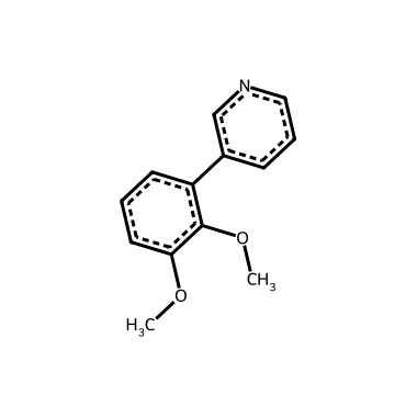 COc1cccc(-c2cccnc2)c1OC